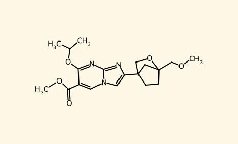 COCC12CCC(c3cn4cc(C(=O)OC)c(OC(C)C)nc4n3)(CO1)C2